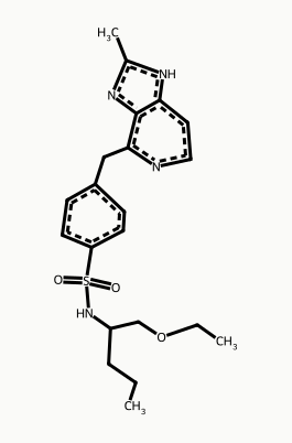 CCCC(COCC)NS(=O)(=O)c1ccc(Cc2nccc3[nH]c(C)nc23)cc1